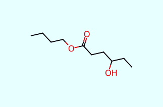 CCCCOC(=O)CCC(O)CC